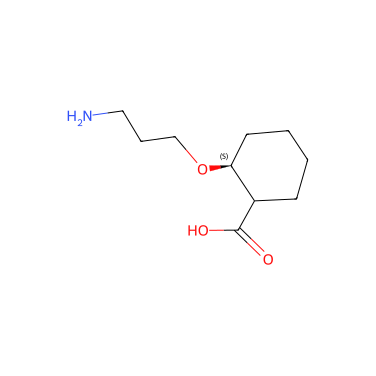 NCCCO[C@H]1CCCCC1C(=O)O